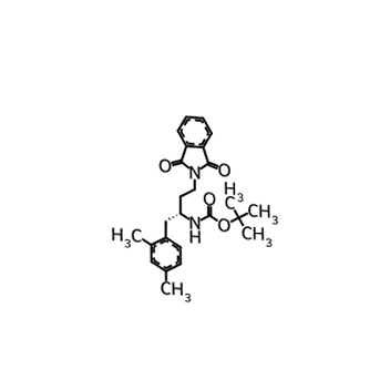 Cc1ccc(C[C@H](CCN2C(=O)c3ccccc3C2=O)NC(=O)OC(C)(C)C)c(C)c1